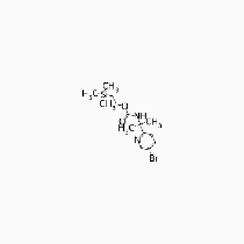 CC(C)(NC(=O)OCC[Si](C)(C)C)c1ccc(Br)cn1